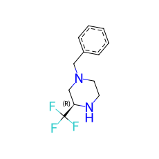 FC(F)(F)[C@H]1CN(Cc2ccccc2)CCN1